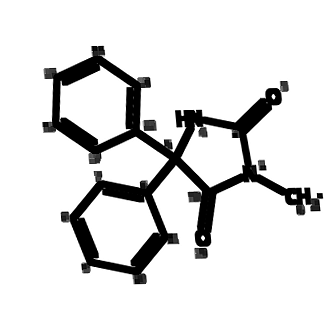 [CH2]N1C(=O)NC(c2ccccc2)(c2ccccc2)C1=O